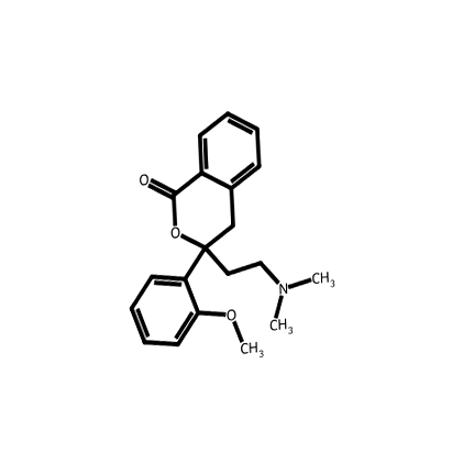 COc1ccccc1C1(CCN(C)C)Cc2ccccc2C(=O)O1